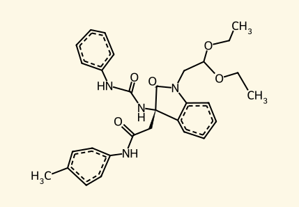 CCOC(CN1C(=O)[C@@](CC(=O)Nc2ccc(C)cc2)(NC(=O)Nc2ccccc2)c2ccccc21)OCC